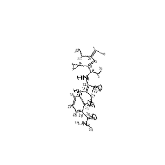 C/C=C(\C=C(/C1CC1)[C@@H](CC)Nc1c(Nc2cccc(C(=O)N(C)C)c2O)c(=O)c1=O)CC